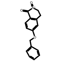 O=C1c2ccc(OCc3ccccc3)cc2CC[N+]1=O